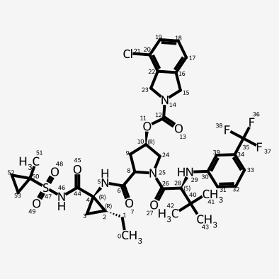 CC[C@@H]1C[C@]1(NC(=O)C1C[C@@H](OC(=O)N2Cc3cccc(Cl)c3C2)CN1C(=O)[C@@H](Nc1cccc(C(F)(F)F)c1)C(C)(C)C)C(=O)NS(=O)(=O)C1(C)CC1